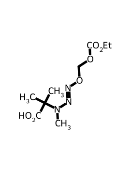 CCOC(=O)OCON=NN(C)C(C)(C)C(=O)O